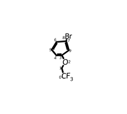 FC(F)(F)COc1c[c]cc(Br)c1